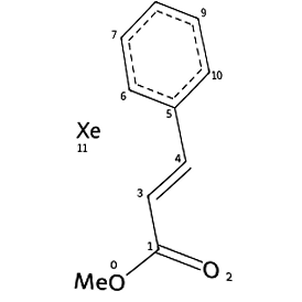 COC(=O)C=Cc1ccccc1.[Xe]